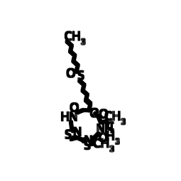 CCCCCCCC(=O)SCCCC/C=C/C1CC(=O)NCc2nc(cs2)C2=NC(C)(CS2)C(=O)NC(C(C)C)C(=O)O1